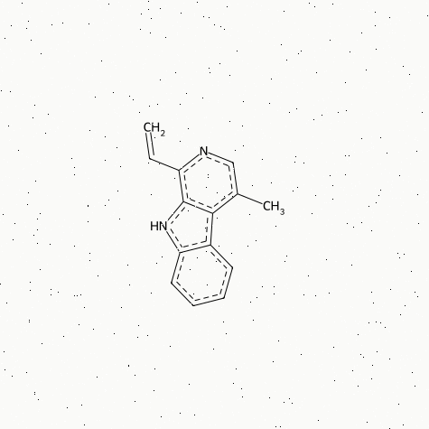 C=Cc1ncc(C)c2c1[nH]c1ccccc12